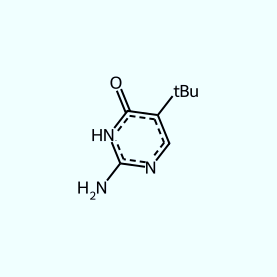 CC(C)(C)c1cnc(N)[nH]c1=O